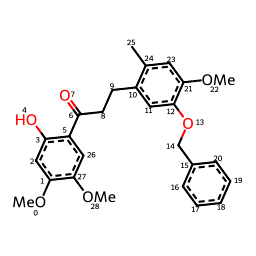 COc1cc(O)c(C(=O)CCc2cc(OCc3ccccc3)c(OC)cc2C)cc1OC